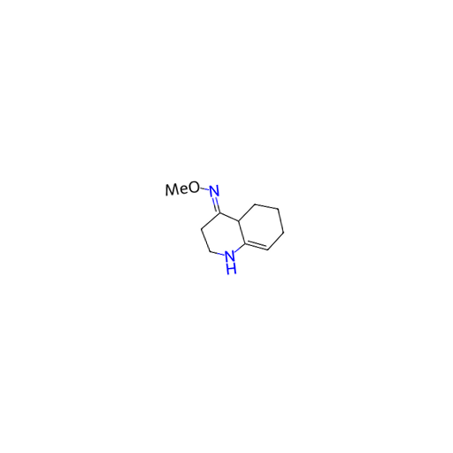 CO/N=C1\CCNC2=CCCCC21